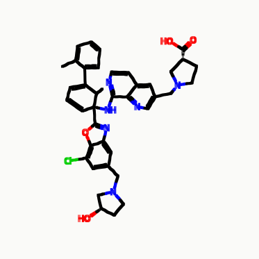 Cc1ccccc1C1=CC=CC(Nc2nccc3cc(CN4CC[C@@H](C(=O)O)C4)cnc23)(c2nc3cc(CN4CC[C@@H](O)C4)cc(Cl)c3o2)C1C